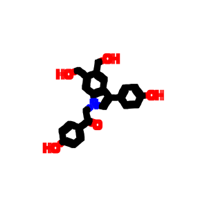 O=C(Cn1cc(-c2ccc(O)cc2)c2cc(CO)c(CO)cc21)c1ccc(O)cc1